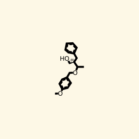 COc1ccc(COC(C)[C@@H](CO)Cc2ccccc2)cc1